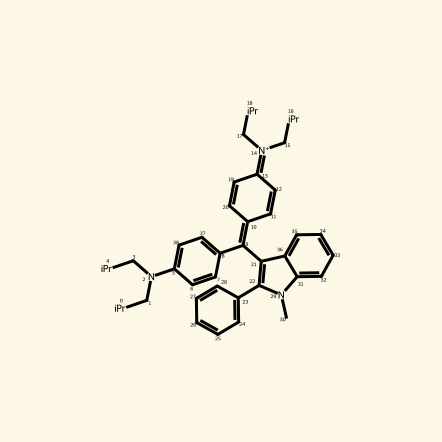 CC(C)CN(CC(C)C)c1ccc(C(=C2C=CC(=[N+](CC(C)C)CC(C)C)C=C2)c2c(-c3ccccc3)n(C)c3ccccc23)cc1